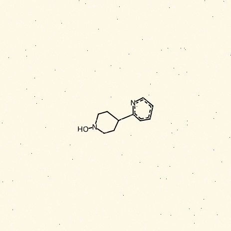 ON1CCC(c2ccccn2)CC1